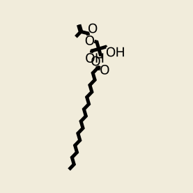 C=C(C)C(=O)OCC(CO)(CO)COC(=O)CCCCCCCCCCCCCCCCC